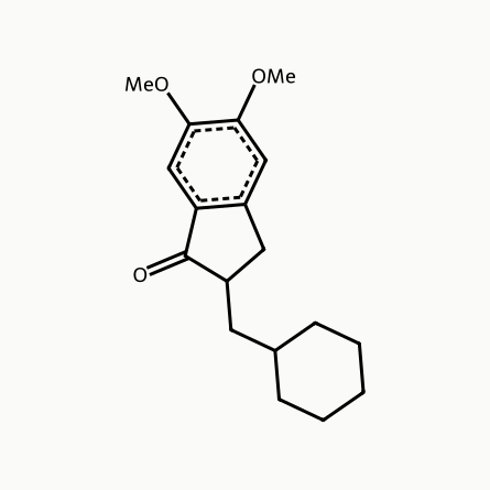 COc1cc2c(cc1OC)C(=O)C(CC1CCCCC1)C2